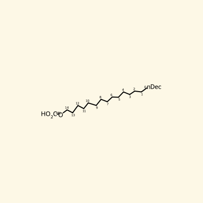 CCCCCCCCCCCCCCCCCCCCCCCCOC(=O)O